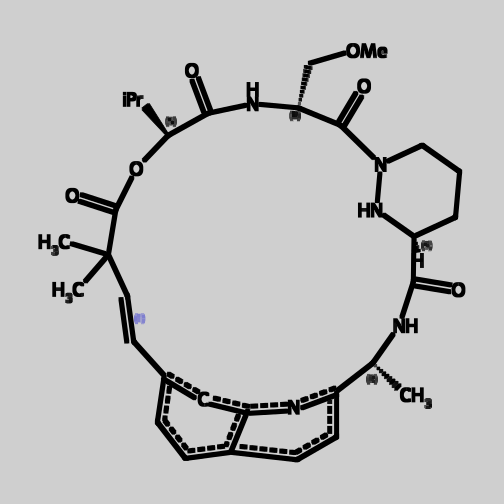 COC[C@H]1NC(=O)[C@H](C(C)C)OC(=O)C(C)(C)/C=C/c2ccc3ccc(nc3c2)[C@@H](C)NC(=O)[C@@H]2CCCN(N2)C1=O